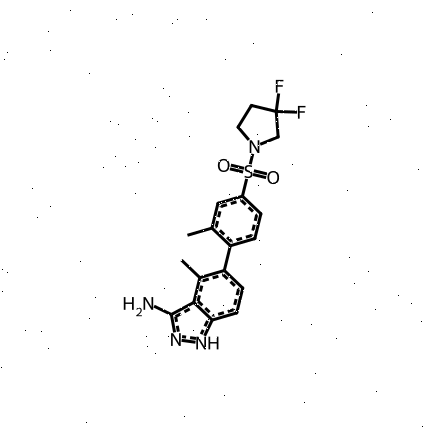 Cc1cc(S(=O)(=O)N2CCC(F)(F)C2)ccc1-c1ccc2[nH]nc(N)c2c1C